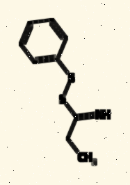 CCC(=N)SSc1ccccc1